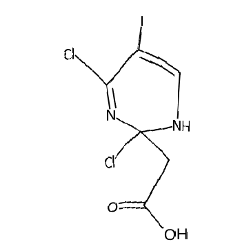 O=C(O)CC1(Cl)N=C(Cl)C(I)=CN1